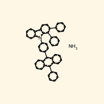 N.c1ccc(-c2ccc3c4ccccc4n(-c4ccc(-c5c6ccccc6c(-c6ccccc6)c6ccccc56)cc4)c3c2-c2ccccc2)cc1